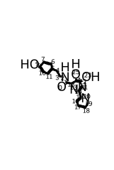 O=C(NCCc1ccc(O)cc1)c1nc(-c2ccccn2)nc(O)c1O